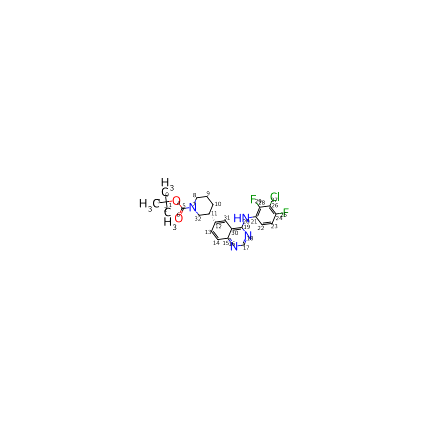 CC(C)(C)OC(=O)N1CCC[C@H](c2ccc3ncnc(Nc4ccc(F)c(Cl)c4F)c3c2)C1